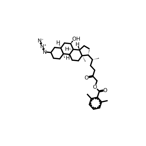 Cc1cccc(C)c1C(=O)OCC(=O)CC[C@@H](C)[C@H]1CC[C@H]2[C@@H]3[C@H](O)C[C@@H]4CC(N=[N+]=[N-])CC[C@]4(C)[C@H]3CC[C@]12C